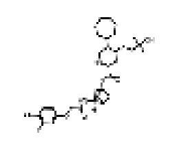 CC(C)(O)CCC1CC(C(=O)NC23CC(C2)[C@@H](NC(=O)COc2ccc(Cl)c(F)c2)C3)NCC1C1CCCCCC1